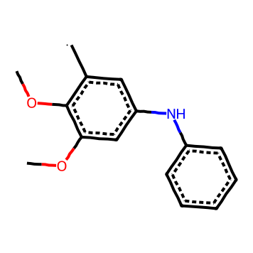 [CH2]c1cc(Nc2ccccc2)cc(OC)c1OC